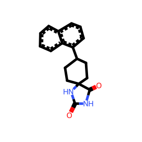 O=C1NC(=O)C2(CCC(c3cccc4ccccc34)CC2)N1